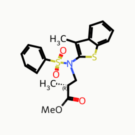 COC(=O)[C@H](C)CN(c1sc2ccccc2c1C)S(=O)(=O)c1ccccc1